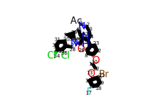 CC(=O)N1CC2CC(c3ccc(OCCOc4cc(F)ccc4Br)cc3)=C(C(=O)N(Cc3cccc(Cl)c3Cl)C3CC3)[C@@H](C1)N2